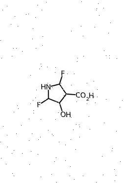 O=C(O)C1C(F)NC(F)C1O